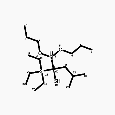 CCCO[SiH](OCCC)[C@](S)(CC(C)C)[Si](CC)(CC)CC